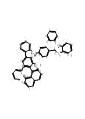 c1ccc(-n2c(-c3ccc(-n4c5ccccc5c5cc(-c6ccccn6)c6c(oc7ccc8ccccc8c76)c54)cc3)nc3ccccc32)cc1